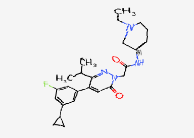 CCN1CCC[C@@H](NC(=O)Cn2nc(C(C)C)c(-c3cc(F)cc(C4CC4)c3)cc2=O)C1